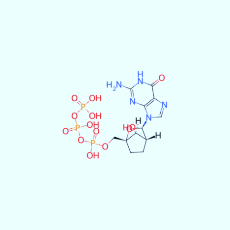 Nc1nc2c(ncn2[C@@H]2O[C@@]3(COP(=O)(O)OP(=O)(O)OP(=O)(O)O)CC[C@@H]2[C@@H]3O)c(=O)[nH]1